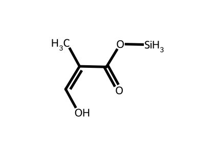 CC(=CO)C(=O)O[SiH3]